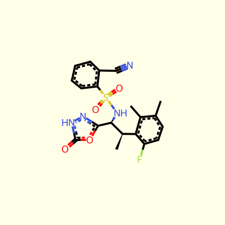 Cc1ccc(F)c([C@@H](C)[C@H](NS(=O)(=O)c2ccccc2C#N)c2n[nH]c(=O)o2)c1C